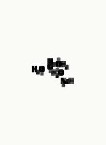 O.O.O.O.[NaH]